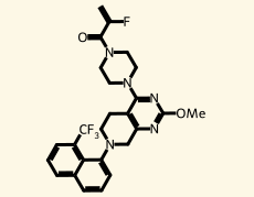 C=C(F)C(=O)N1CCN(c2nc(OC)nc3c2CCN(c2cccc4cccc(C(F)(F)F)c24)C3)CC1